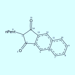 CCCCCC1C(=O)c2cc3ccccc3cc2C1=O